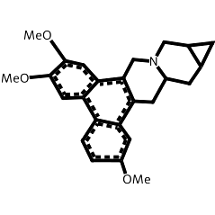 COc1ccc2c(c1)c1c(c3cc(OC)c(OC)cc32)CN2CC3CC3CC2C1